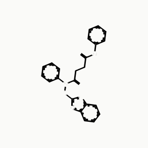 O=C(CCC(=O)N(Sc1nc2ccccc2o1)c1ccccc1)Nc1ccccc1